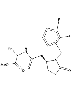 COC(=O)[C@@H](NC(=S)C[C@@H]1CCC(=S)N1Cc1cccc(F)c1F)C(C)C